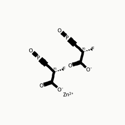 O=P#C[C@H](F)C(=O)[O-].O=P#C[C@H](F)C(=O)[O-].[Zn+2]